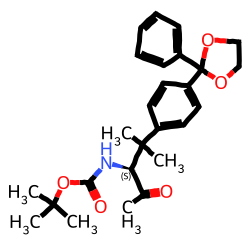 CC(=O)[C@@H](NC(=O)OC(C)(C)C)C(C)(C)c1ccc(C2(c3ccccc3)OCCO2)cc1